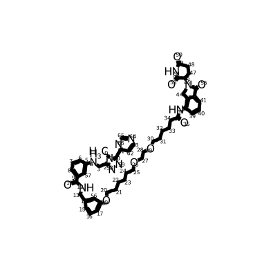 Cn1c(CNc2cccc(C(=O)NCc3cccc(OCCCCCCOCCOCCCCCC(=O)Nc4cccc5c4CN(C4CCC(=O)NC4=O)C5=O)c3)c2)nnc1-c1ccncn1